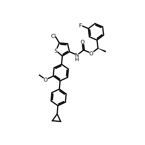 COc1cc(-c2sc(Cl)cc2NC(=O)O[C@H](C)c2cccc(F)c2)ccc1-c1ccc(C2CC2)cc1